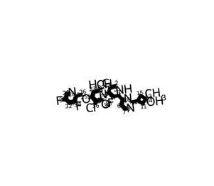 CC1=CNC(c2ccnc(C3CC(C)(O)C3)n2)C(F)=C1n1c(C)cc(OCc2ncc(F)cc2F)c(Cl)c1=O